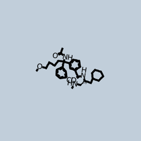 CNC[C@H](CC1CCCCC1)NC(=O)c1cccc(C(CCCCOC)(NC(C)=O)c2cccc(Cl)c2)c1